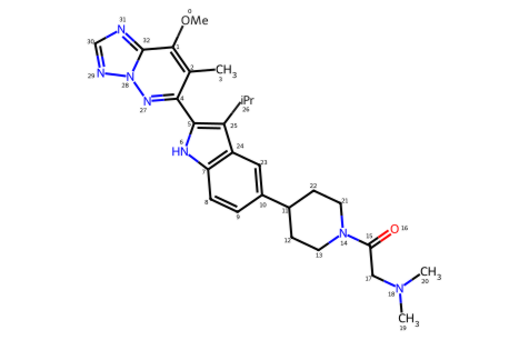 COc1c(C)c(-c2[nH]c3ccc(C4CCN(C(=O)CN(C)C)CC4)cc3c2C(C)C)nn2ncnc12